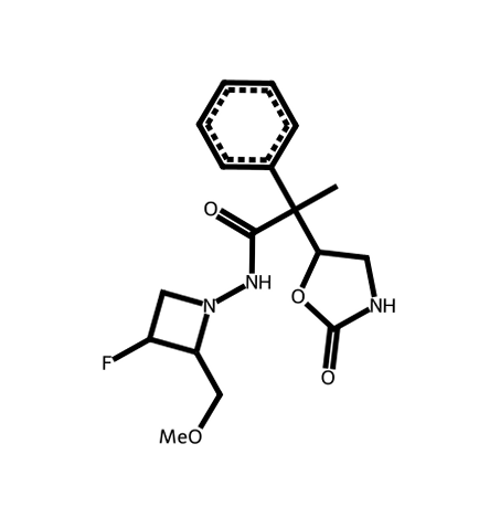 COCC1C(F)CN1NC(=O)C(C)(c1ccccc1)C1CNC(=O)O1